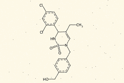 CCC1=CN(Cc2ccc(CO)cc2)S(=O)(=O)NC1c1ccc(Cl)cc1Cl